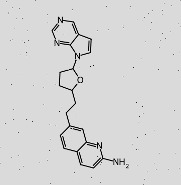 Nc1ccc2ccc(CCC3CCC(n4ccc5cncnc54)O3)cc2n1